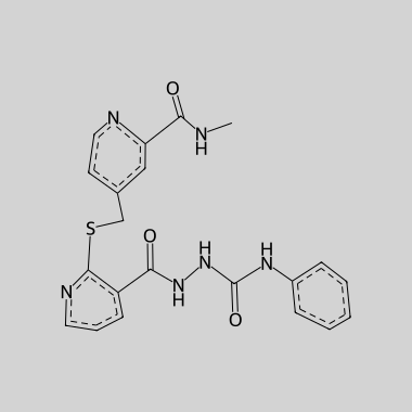 CNC(=O)c1cc(CSc2ncccc2C(=O)NNC(=O)Nc2ccccc2)ccn1